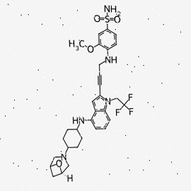 COc1cc(S(N)(=O)=O)ccc1NCC#Cc1cc2c(NC3CCC(N4CC5C[C@H](C4)O5)CC3)cccc2n1CC(F)(F)F